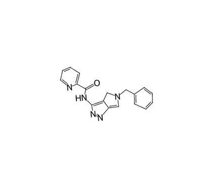 O=C(NC1=C2CN(Cc3ccccc3)C=C2N=N1)c1ccccn1